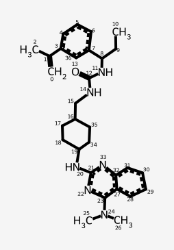 C=C(C)c1cccc(C(CC)NC(=O)NCC2CCC(Nc3nc(N(C)C)c4ccccc4n3)CC2)c1